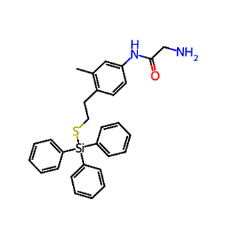 Cc1cc(NC(=O)CN)ccc1CCS[Si](c1ccccc1)(c1ccccc1)c1ccccc1